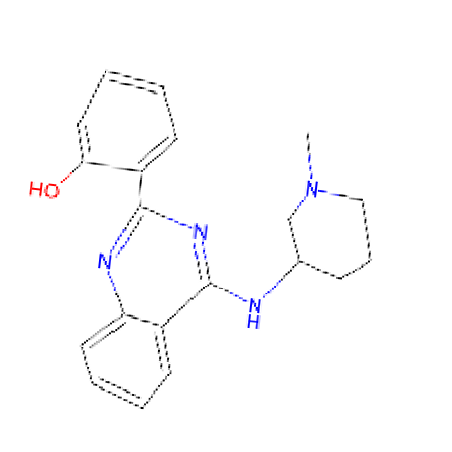 CN1CCCC(Nc2nc(-c3ccccc3O)nc3ccccc23)C1